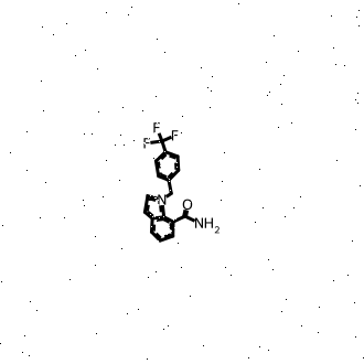 NC(=O)c1cccc2ccn(Cc3ccc(C(F)(F)F)cc3)c12